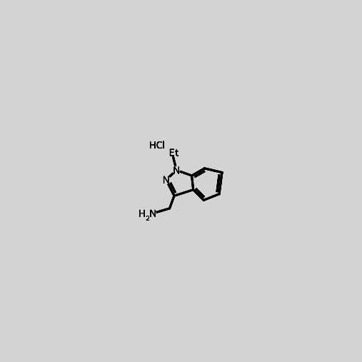 CCn1nc(CN)c2ccccc21.Cl